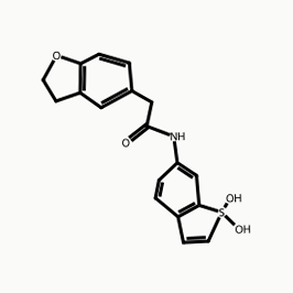 O=C(Cc1ccc2c(c1)CCO2)Nc1ccc2c(c1)S(O)(O)C=C2